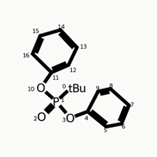 [CH2]C(C)(C)P(=O)(Oc1ccccc1)Oc1ccccc1